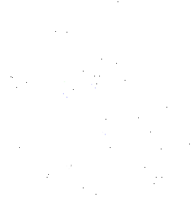 COCCN1C(=O)c2ccccc2C(C(=O)Nc2ccc(C)cc2Br)C1c1cn(C)c2ccccc12